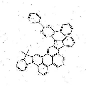 CC1(C)c2ccccc2-c2c1cc1c3cc4c(c5cccc(c6cccc2c61)c35)c1ccccc1n4-c1cnc(-c2ccccc2)nc1-c1ccccc1